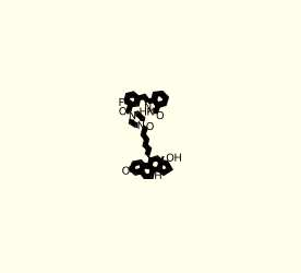 C[C@]12C[C@H](CCCCCC(=O)N3CCN(C(=O)c4cc(Cc5n[nH]c(=O)c6ccccc56)ccc4F)CC3)C3=C4CCC(=O)C=C4CC[C@H]3C1CC[C@@H]2O